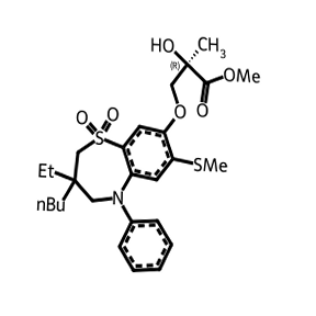 CCCCC1(CC)CN(c2ccccc2)c2cc(SC)c(OC[C@@](C)(O)C(=O)OC)cc2S(=O)(=O)C1